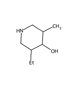 CCC1CNCC(C)C1O